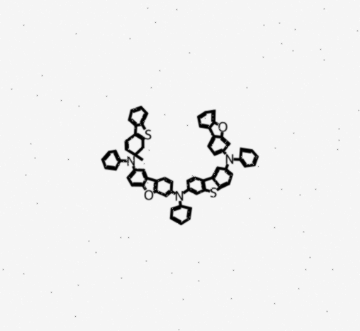 CC1(N(c2ccccc2)c2ccc3oc4cc(N(c5ccccc5)c5ccc6c(c5)sc5ccc(N(c7ccccc7)c7ccc8c(c7)oc7ccccc78)cc56)ccc4c3c2)C=Cc2c(sc3ccccc23)C1